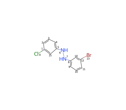 Clc1cccc(NNc2cccc(Br)c2)c1